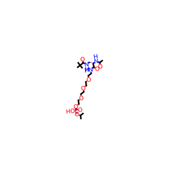 CC(=O)N[C@@H](CNC(=O)C(C)(C)C)C(=O)NCCOCCOCCOCCOP(=O)(O)OC(C)C